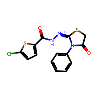 O=C(N/N=C1/SCC(=O)N1c1ccccc1)c1ccc(Cl)s1